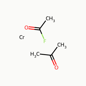 CC(=O)F.CC(C)=O.[Cr]